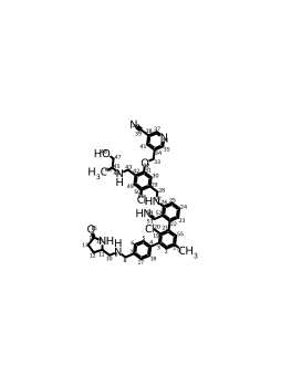 Cc1cc(-c2ccc(CNCC3CCC(=O)N3)cc2)c(Cl)c(-c2cccc(NCc3cc(OCc4cncc(C#N)c4)c(CNC(C)CO)cc3Cl)c2C=N)c1